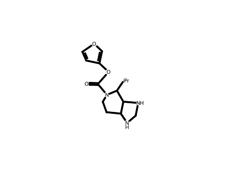 CC(C)C1C2NCNC2CCN1C(=O)Oc1ccoc1